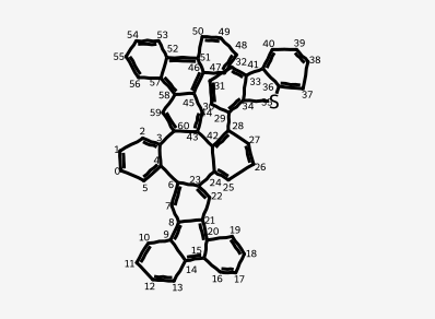 c1ccc2c(c1)-c1cc3c4ccccc4c4ccccc4c3cc1-c1cccc(-c3cccc4c3sc3ccccc34)c1-c1cc3c4ccccc4c4ccccc4c3cc1-2